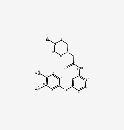 CCN1CCN(CC(=O)Nc2cc(Oc3ccc(NC)c([N+](=O)[O-])c3)ccn2)CC1